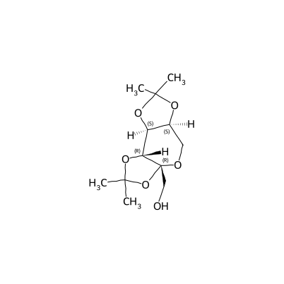 CC1(C)O[C@H]2[C@H](CO[C@]3(CO)OC(C)(C)O[C@H]23)O1